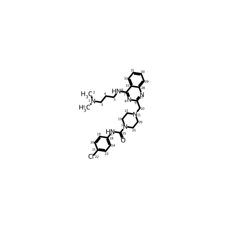 CN(C)CCCNc1nc(CN2CCN(C(=O)Nc3ccc(Cl)cc3)CC2)nc2ccccc12